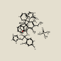 COC1(c2ccccc2)C(C2COC(Cn3cncn3)(c3ccc(F)cc3F)O2)=[C]([Na])C(CC(C)(C)C)=C(C)C1(n1[nH]cnc1=O)C1(N2CCNCC2)C=CC=CC1.O=P(O)(O)O